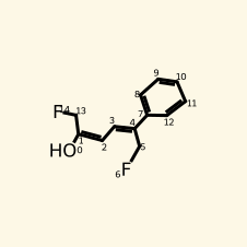 O/C(=C/C=C(\CF)c1ccccc1)CF